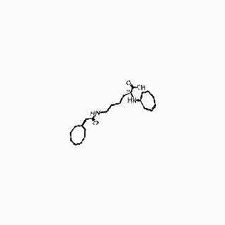 O=C(C=C1CCCCCCC1)NCCCC[C@H](NC1CCCCCC1)C(=O)O